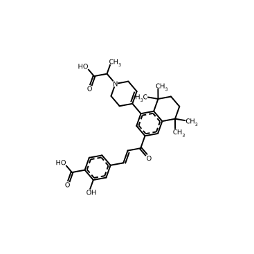 CC(C(=O)O)N1CC=C(c2cc(C(=O)/C=C/c3ccc(C(=O)O)c(O)c3)cc3c2C(C)(C)CCC3(C)C)CC1